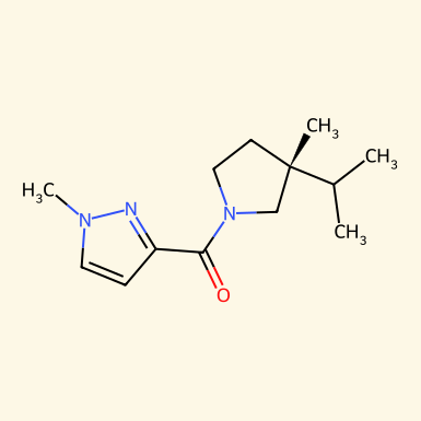 CC(C)[C@@]1(C)CCN(C(=O)c2ccn(C)n2)C1